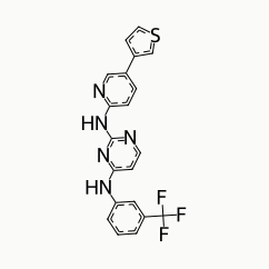 FC(F)(F)c1cccc(Nc2ccnc(Nc3ccc(-c4ccsc4)cn3)n2)c1